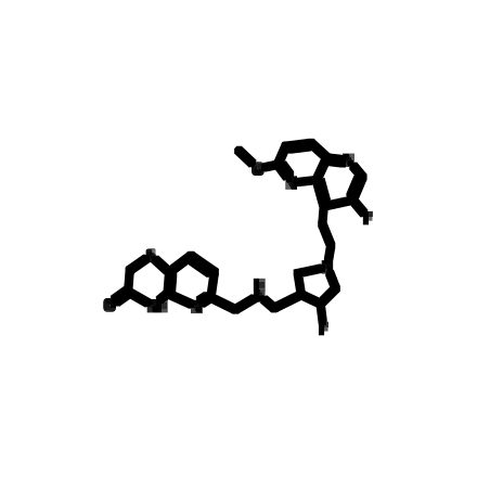 COc1ccc2ncc(F)c(CCN3CC(F)C(CNCc4ccc5c(n4)NC(=O)CS5)C3)c2n1